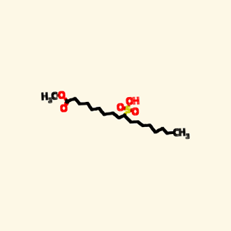 CCCCCCCCC(CCCCCCCCC(=O)OC)S(=O)(=O)O